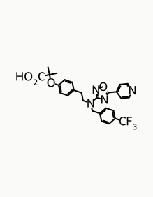 CC(C)(Oc1ccc(CCN(Cc2ccc(C(F)(F)F)cc2)c2noc(-c3ccncc3)n2)cc1)C(=O)O